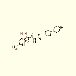 Cc1ccc2c(N)c(C(=O)N[C@H]3C[C@H](c4ccc(N5CCNCC5)cc4)C3)sc2n1